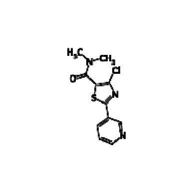 CN(C)C(=O)c1sc(-c2cccnc2)nc1Cl